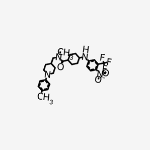 Cc1ccc(N2CCC(CN(C)C(=O)C3CCC(Nc4ccc([N+](=O)[O-])c(C(F)(F)F)c4)CC3)CC2)cc1